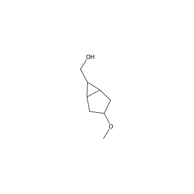 COC1CC2C(CO)C2C1